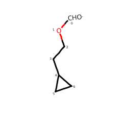 O=[C]OCCC1CC1